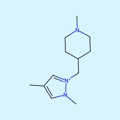 Cc1cn(C)[n+](CC2CCN(C)CC2)c1